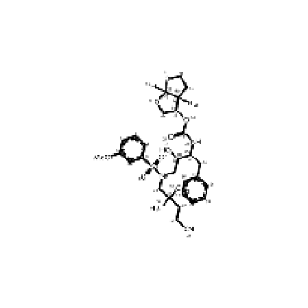 COc1cccc(S(=O)(=O)N(C[C@@H](O)[C@H](Cc2ccccc2)NC(=O)O[C@H]2CO[C@@H]3OCC[C@@H]32)CC(C)(C)CCC#N)c1